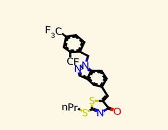 CCCSC1=NC(=O)C(=Cc2ccc3c(cnn3Cc3ccc(C(F)(F)F)cc3C(F)(F)F)c2)S1